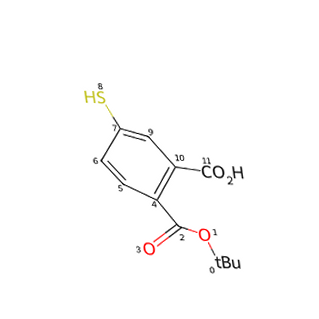 CC(C)(C)OC(=O)c1ccc(S)cc1C(=O)O